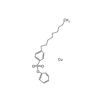 CCCCCCCCCc1ccc(S(=O)(=O)Oc2ccccc2)cc1.[Cu]